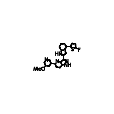 COc1cncc(-c2ccc3[nH]nc(-c4cc5c(-c6ccc(F)s6)cccc5[nH]4)c3n2)c1